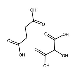 O=C(O)C(O)C(=O)O.O=C(O)CCC(=O)O